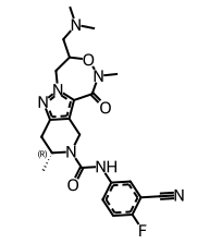 C[C@@H]1Cc2nn3c(c2CN1C(=O)Nc1ccc(F)c(C#N)c1)C(=O)N(C)OC(CN(C)C)C3